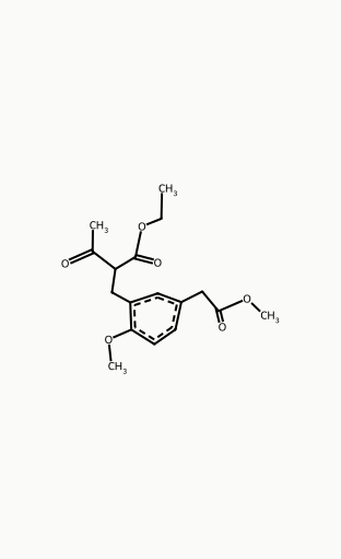 CCOC(=O)C(Cc1cc(CC(=O)OC)ccc1OC)C(C)=O